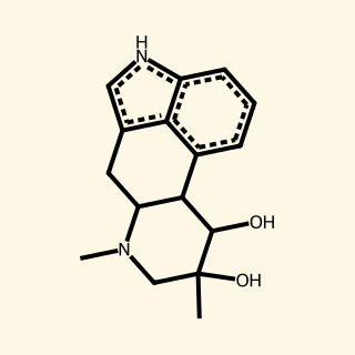 CN1CC(C)(O)C(O)C2c3cccc4[nH]cc(c34)CC21